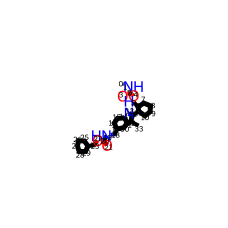 CNC(=O)OCc1ccccc1-c1[nH]c2ccc(CNC(=O)OCc3ccccc3)cc2c1C